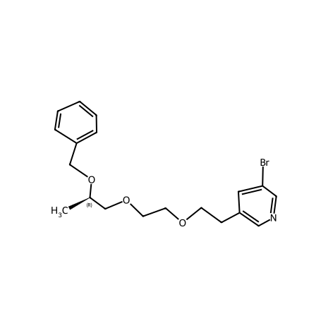 C[C@H](COCCOCCc1cncc(Br)c1)OCc1ccccc1